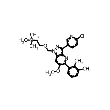 COc1cc2c(nc1-c1cccc(C)c1C)c(-c1ccc(Cl)nc1)nn2COCC[Si](C)(C)C